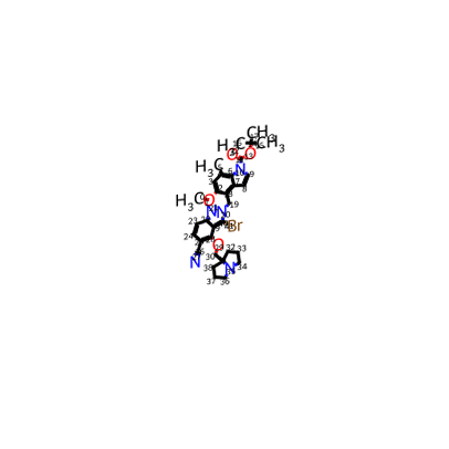 COc1cc(C)c2c(ccn2C(=O)OC(C)(C)C)c1Cn1nc2ccc(C#N)c(OCC34CCCN3CCC4)c2c1Br